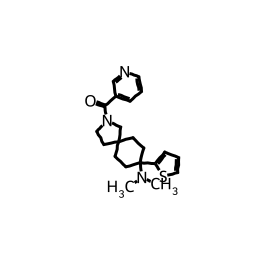 CN(C)C1(c2cccs2)CCC2(CCN(C(=O)c3cccnc3)C2)CC1